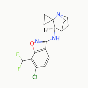 FC(F)c1c(Cl)ccc2c(N[C@@H]3C4CCN(CC4)C34CC4)noc12